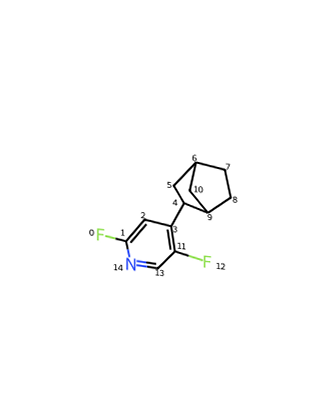 Fc1cc(C2CC3CCC2C3)c(F)cn1